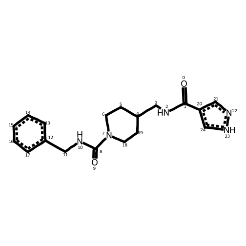 O=C(NCC1CCN(C(=O)NCc2ccccc2)CC1)c1cn[nH]c1